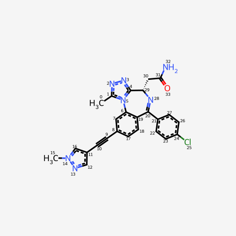 Cc1nnc2n1-c1cc(C#Cc3cnn(C)c3)ccc1C(c1ccc(Cl)cc1)=N[C@H]2CC(N)=O